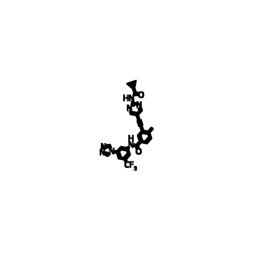 Cc1ccc(C(=O)Nc2cc(-n3cnnc3)cc(C(F)(F)F)c2)cc1C#Cc1cnc(NC(=O)C2CC2)nc1